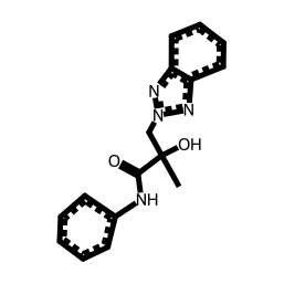 CC(O)(Cn1nc2ccccc2n1)C(=O)Nc1ccccc1